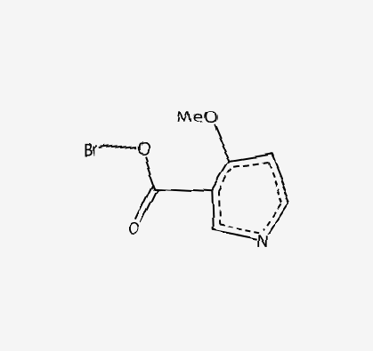 COc1ccncc1C(=O)OBr